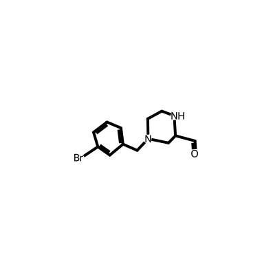 O=CC1CN(Cc2cccc(Br)c2)CCN1